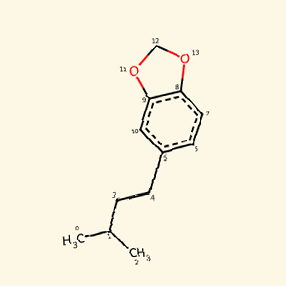 CC(C)CCc1ccc2c(c1)OCO2